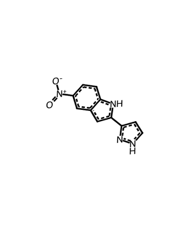 O=[N+]([O-])c1ccc2[nH]c(-c3cc[nH]n3)cc2c1